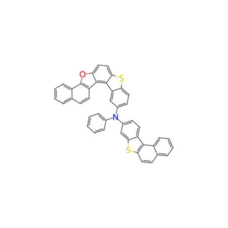 c1ccc(N(c2ccc3c(c2)sc2ccc4ccccc4c23)c2ccc3sc4ccc5oc6c7ccccc7ccc6c5c4c3c2)cc1